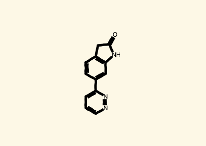 O=C1Cc2ccc(-c3cccnn3)cc2N1